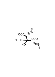 O=C([O-])CC(O)(CC(=O)[O-])C(=O)[O-].[KH].[KH].[KH].[Na+].[Na+].[Na+]